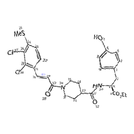 CCOC(=O)[C@H](Cc1ccc(O)cc1)NC(=O)C1CCN(C(=O)/C=C/c2ccc(SC)c(Cl)c2Cl)CC1